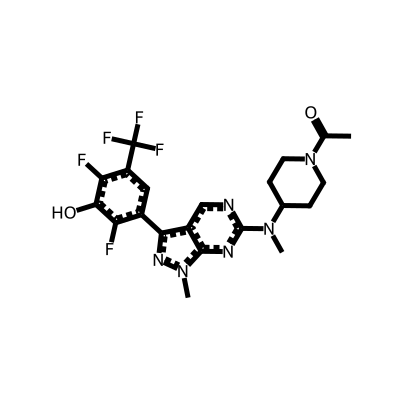 CC(=O)N1CCC(N(C)c2ncc3c(-c4cc(C(F)(F)F)c(F)c(O)c4F)nn(C)c3n2)CC1